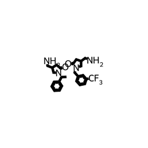 CC(c1ccccc1)N1CC(CN)CC1=O.NCC1CC(=O)N(Cc2cccc(C(F)(F)F)c2)C1